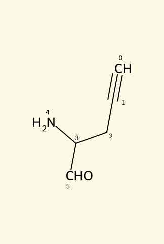 C#CCC(N)C=O